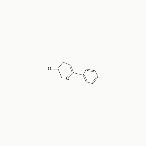 O=C1CC=C(c2ccccc2)OC1